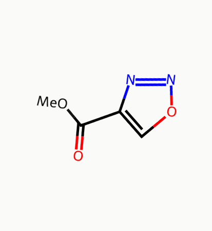 COC(=O)c1conn1